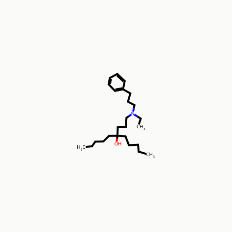 CCCCCC(O)(CCCCC)CCCN(CC)CCCc1ccccc1